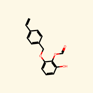 C=Cc1ccc(COc2cccc(O)c2OC=O)cc1